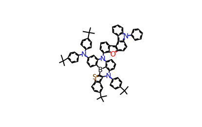 CC(C)(C)c1ccc(N(c2ccc(C(C)(C)C)cc2)c2ccc3c(c2)N(c2cccc4c2oc2ccc5c(c6ccccc6n5-c5ccccc5)c24)c2cccc4c2B3c2sc3ccc(C(C)(C)C)cc3c2N4c2ccc(C(C)(C)C)cc2)cc1